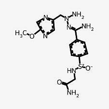 COc1cnc(CN(N)/N=C(\N)c2ccc([S+]([O-])NCC(N)=O)cc2)cn1